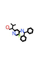 CC(C)C(C=O)c1cc(N=C(c2ccccc2)c2ccccc2)c(F)cn1